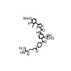 COc1ccc(-c2cnc(C(=O)Nc3ccc(C(=O)N4CCN(C(=O)CCCNC(=N)N)CC4)c(Cl)c3)n2C)c(F)c1F.O=CO